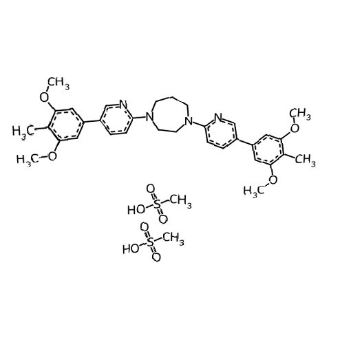 COc1cc(-c2ccc(N3CCCN(c4ccc(-c5cc(OC)c(C)c(OC)c5)cn4)CC3)nc2)cc(OC)c1C.CS(=O)(=O)O.CS(=O)(=O)O